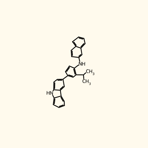 CC(C)c1cc(-c2ccc3[nH]c4ccccc4c3c2)ccc1Nc1ccc2ccccc2c1